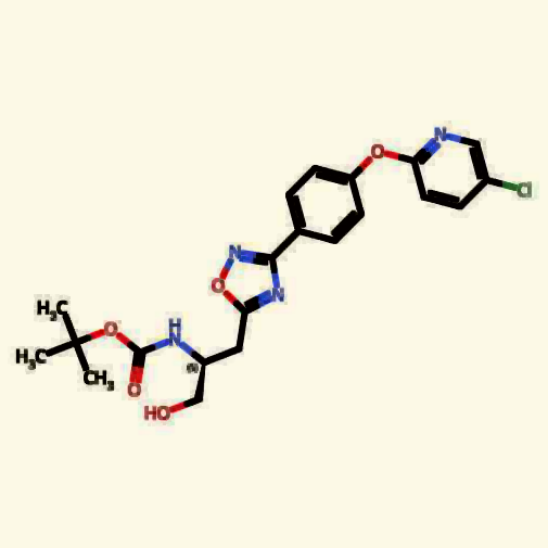 CC(C)(C)OC(=O)N[C@H](CO)Cc1nc(-c2ccc(Oc3ccc(Cl)cn3)cc2)no1